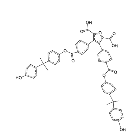 CC(C)(c1ccc(O)cc1)c1ccc(OC(=O)c2ccc(-c3c(C(=O)O)oc(C(=O)O)c3-c3ccc(C(=O)Oc4ccc(C(C)(C)c5ccc(O)cc5)cc4)cc3)cc2)cc1